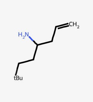 C=CCC(N)CCC(C)(C)C